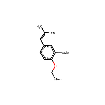 CCCCCCCCCCOc1ccc(/C=C(/C)C#N)cc1OC